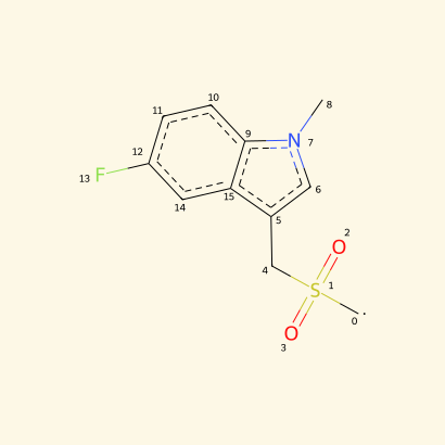 [CH2]S(=O)(=O)Cc1cn(C)c2ccc(F)cc12